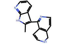 Cc1[nH]c2ncccc2c1-c1nccc2c1C=CNC2